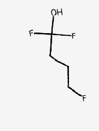 OC(F)(F)CCCF